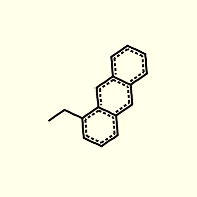 CCc1cccc2cc3ccccc3[c]c12